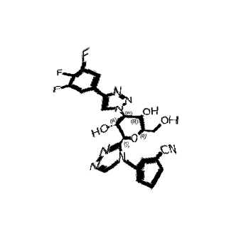 N#Cc1cccc(-n2cnnc2[C@@H]2O[C@H](CO)[C@H](O)[C@H](n3cc(-c4cc(F)c(F)c(F)c4)nn3)[C@H]2O)c1